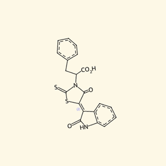 O=C1Nc2ccccc2/C1=C1/SC(=S)N(C(Cc2ccccc2)C(=O)O)C1=O